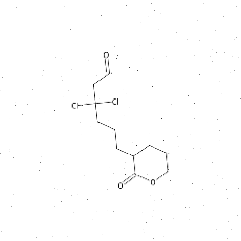 O=[C]CC(Cl)(Cl)CCCC1C[CH]COC1=O